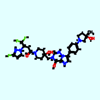 CC1(O)CCN(c2ccc(-c3cnc4c(=O)n(CC5(O)CCN(C(=O)CC(C(F)F)n6ccc(F)n6)CC5)cnn34)cc2)C1